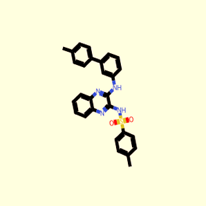 Cc1ccc(-c2cccc(Nc3nc4ccccc4nc3NS(=O)(=O)c3ccc(C)cc3)c2)cc1